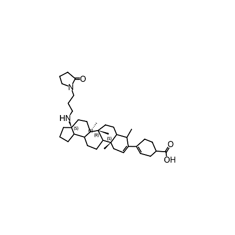 CC1C(C2=CCC(C(=O)O)CC2)=CC[C@@]2(C)C1CC[C@]1(C)C2CCC2C3CCC[C@]3(NCCCN3CCCC3=O)CC[C@]21C